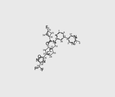 Cc1ncc(-c2cccc(N(CC34CCC(c5nc(C(F)F)no5)(CC3)CC4)C(=O)C34CC(F)(C3)C4)c2)cn1